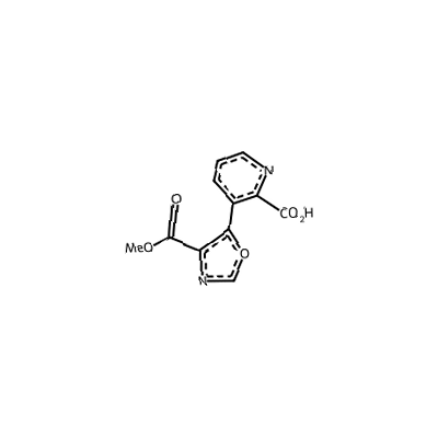 COC(=O)c1ncoc1-c1cccnc1C(=O)O